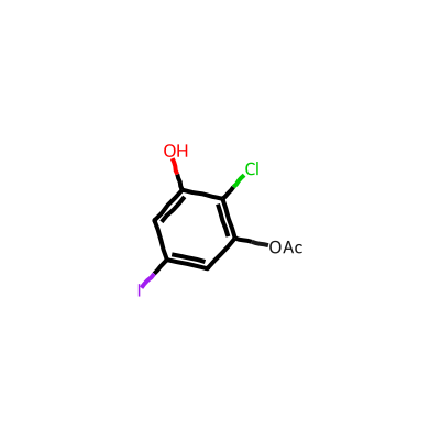 CC(=O)Oc1cc(I)cc(O)c1Cl